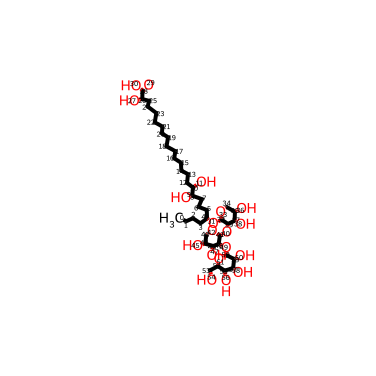 CCCCC(CCCC(O)C(O)CCCCCCCCCCCCCCC(O)C(=O)O)OC1OCC(O)C(O)C1OC1OCC(O)C(O)C1OC1OC(CO)C(O)C(O)C1O